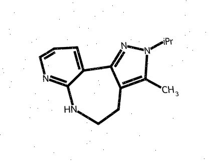 Cc1c2c(nn1C(C)C)-c1cccnc1NCC2